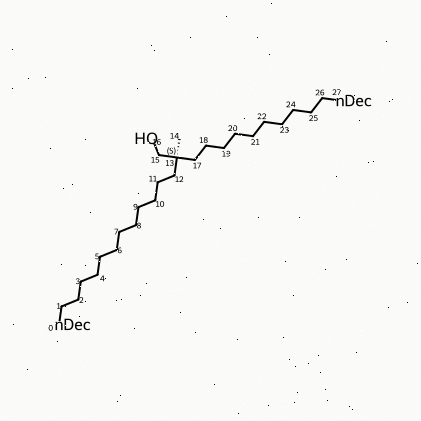 CCCCCCCCCCCCCCCCCCCCCC[C@@](C)(CO)CCCCCCCCCCCCCCCCCCCC